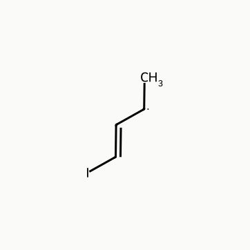 C[CH]C=CI